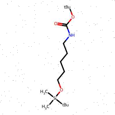 CC(C)(C)OC(=O)NCCCCCO[Si](C)(C)C(C)(C)C